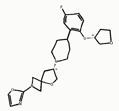 Fc1ccc(O[C@@H]2CCOC2)c(C2CCN([C@@H]3COC4(C3)CN(c3ncco3)C4)CC2)c1